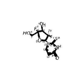 C[C@@]1(F)C(O)[C@@](F)(CO)O[C@H]1n1ccc(=O)[nH]c1=S